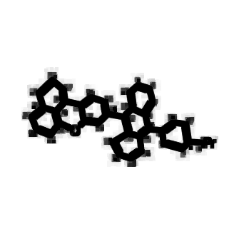 CC(C)c1ccc(-c2c3ccccc3c(-c3ccc4c(c3)Oc3cccc5cccc-4c35)c3ccccc23)cc1